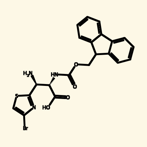 N[C@H](c1nc(Br)cs1)[C@H](NC(=O)OCC1c2ccccc2-c2ccccc21)C(=O)O